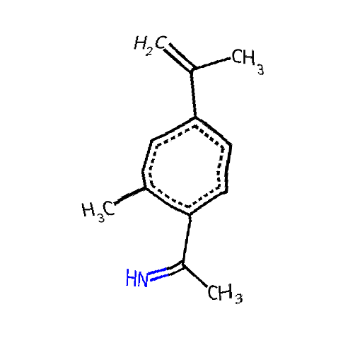 C=C(C)c1ccc(C(C)=N)c(C)c1